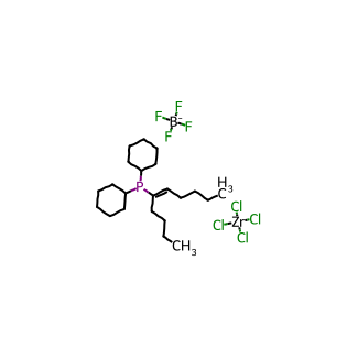 CCCCC=C(CCCC)P(C1CCCCC1)C1CCCCC1.F[B-](F)(F)F.[Cl][Zr]([Cl])([Cl])[Cl]